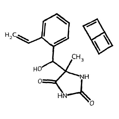 C=Cc1ccccc1C(O)C1(C)NC(=O)NC1=O.c1cc2ccc1-2